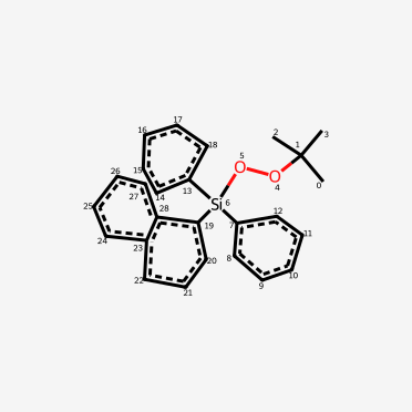 CC(C)(C)OO[Si](c1ccccc1)(c1ccccc1)c1cccc2ccccc12